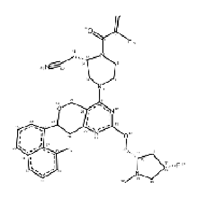 C=C(F)C(=O)N1CCN(c2nc(OC[C@@H]3C[C@H](F)CN3C)nc3c2COC(c2cccc4cccc(C)c24)C3)C[C@@H]1CC#N